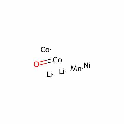 [Co].[Li].[Li].[Mn].[Ni].[O]=[Co]